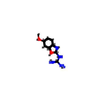 COc1ccc2nc(NC(=N)N)oc2c1